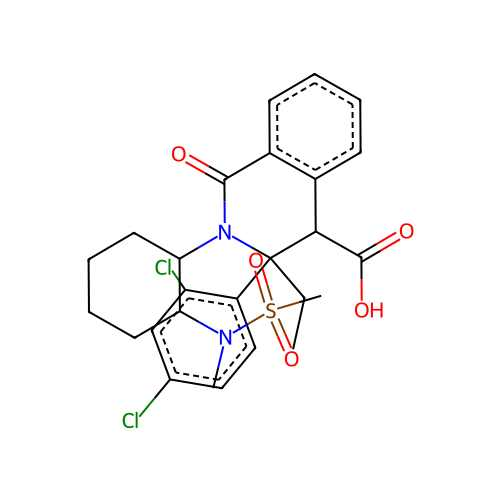 CCC1(c2ccc(Cl)cc2Cl)C(C(=O)O)c2ccccc2C(=O)N1C1CCCCC1N(C)S(C)(=O)=O